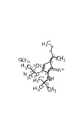 CCCC(C)=C1C=C(O[Si](C)(C)C)C(NC(C)(C)C)=[C]1[Ti+2].[Cl-].[Cl-]